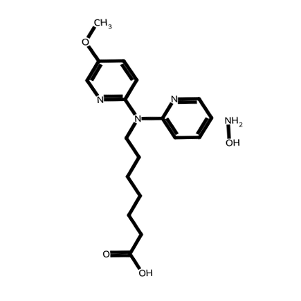 COc1ccc(N(CCCCCCC(=O)O)c2ccccn2)nc1.NO